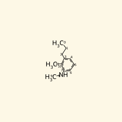 CCCc1cccc(NC)c1C